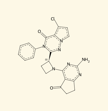 Nc1nc2c(c(N3CC[C@H]3c3nn4ccc(Cl)c4c(=O)n3-c3ccccc3)n1)C(=O)CC2